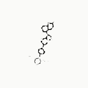 Bc1ccc2c(-c3cnn4cc(-c5ccc(N6[C@H](C)CNC[C@@H]6C)cc5)cnc34)cccc2n1